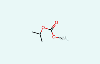 CC(C)OC(=O)O[SiH3]